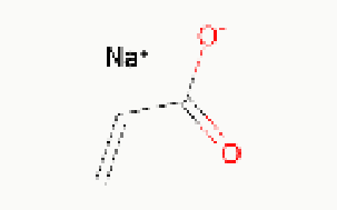 C=CC(=O)[O-].[Na+]